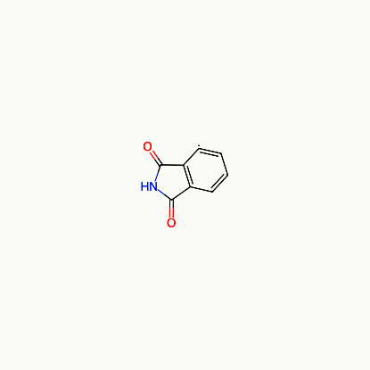 O=C1NC(=O)c2ccc[c]c21